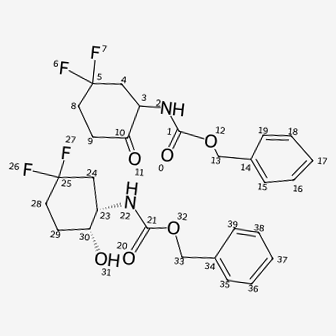 O=C(NC1CC(F)(F)CCC1=O)OCc1ccccc1.O=C(N[C@H]1CC(F)(F)CC[C@H]1O)OCc1ccccc1